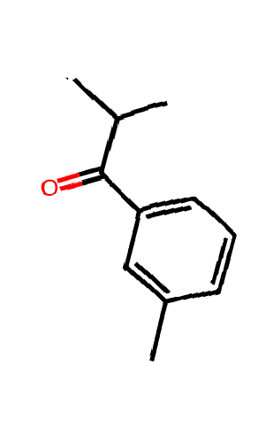 [CH2]C(C)C(=O)c1cccc(C)c1